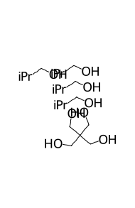 CC(C)CO.CC(C)CO.CC(C)CO.CC(C)CO.OCC(CO)(CO)CO